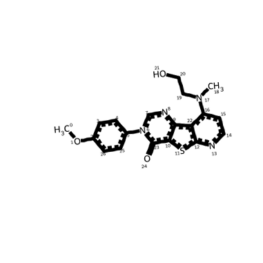 COc1ccc(-n2cnc3c(sc4nccc(N(C)CCO)c43)c2=O)cc1